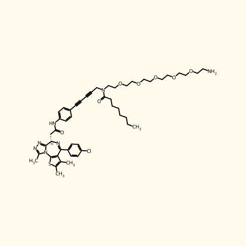 CCCCCCCC(=O)N(CC#CC#Cc1ccc(NC(=O)C[C@@H]2N=C(c3ccc(Cl)cc3)c3c(sc(C)c3C)-n3c(C)nnc32)cc1)CCOCCOCCOCCOCCOCCN